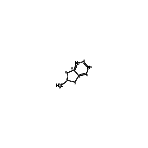 CC1Cc2cncnc2C1